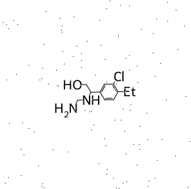 CCc1ccc(C(CO)NCN)cc1Cl